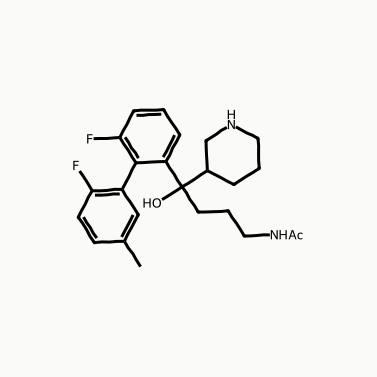 CC(=O)NCCCC(O)(c1cccc(F)c1-c1cc(C)ccc1F)C1CCCNC1